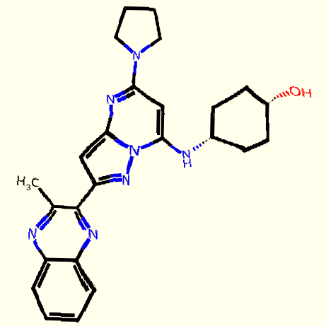 Cc1nc2ccccc2nc1-c1cc2nc(N3CCCC3)cc(N[C@H]3CC[C@@H](O)CC3)n2n1